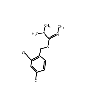 C/N=C(/SCc1ccc(Cl)cc1Cl)N(C)C